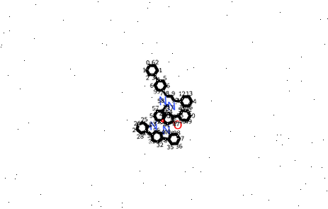 c1ccc(-c2ccc(-c3cc(-c4ccccc4)nc(-c4ccc(-n5c6ccccc6c6ccc7c8ccccc8n(-c8cccc9c8oc8ccccc89)c7c65)cc4)n3)cc2)cc1